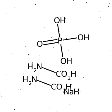 NC(=O)O.NC(=O)O.O=P(O)(O)O.[NaH]